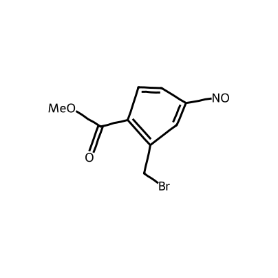 COC(=O)c1ccc(N=O)cc1CBr